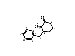 O=C1CCCC(Cc2ccccc2)C1=O